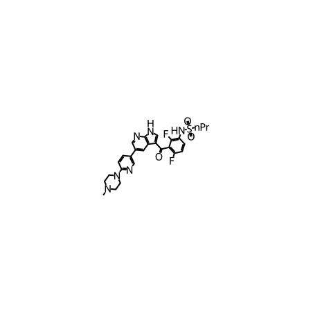 CCCS(=O)(=O)Nc1ccc(F)c(C(=O)c2c[nH]c3ncc(-c4ccc(N5CCN(C)CC5)nc4)cc23)c1F